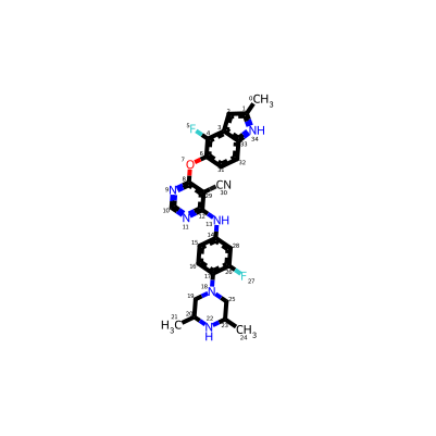 Cc1cc2c(F)c(Oc3ncnc(Nc4ccc(N5CC(C)NC(C)C5)c(F)c4)c3C#N)ccc2[nH]1